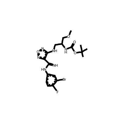 COCC(CNc1nonc1C(=N)Nc1ccc(F)c(Br)c1)NC(=O)OC(C)(C)C